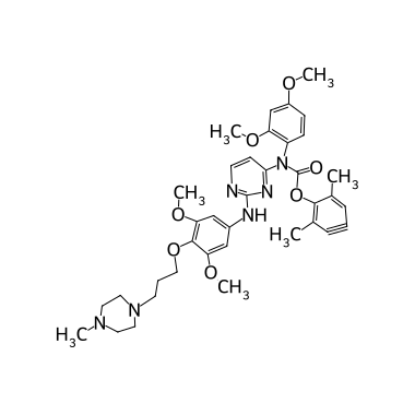 COc1ccc(N(C(=O)Oc2c(C)c#ccc2C)c2ccnc(Nc3cc(OC)c(OCCCN4CCN(C)CC4)c(OC)c3)n2)c(OC)c1